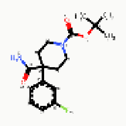 CC(C)(C)OC(=O)N1CCC(C(N)=O)(c2cccc(F)c2)CC1